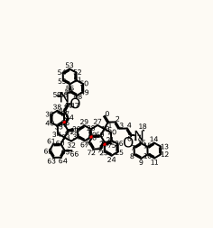 C=C(/C=C/C=C1\Oc2ccc3ccccc3c2N1C)C(Cc1ccccc1)(Cc1ccc(CC(Cc2ccccc2)(C(=C)/C=C/C=C2\Oc3ccc4ccccc4c3N2C)c2ccccc2C)cc1)c1ccccc1C